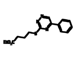 CCOC(=O)CCCSc1nncc(-c2ccccc2)n1